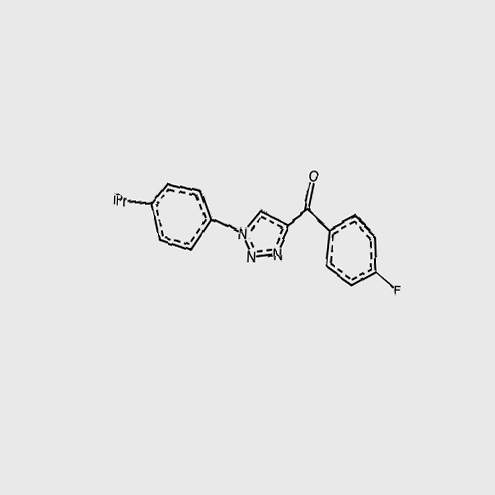 CC(C)c1ccc(-n2cc(C(=O)c3ccc(F)cc3)nn2)cc1